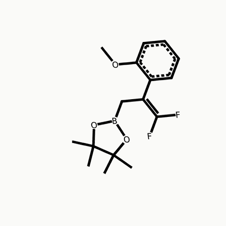 COc1ccccc1C(CB1OC(C)(C)C(C)(C)O1)=C(F)F